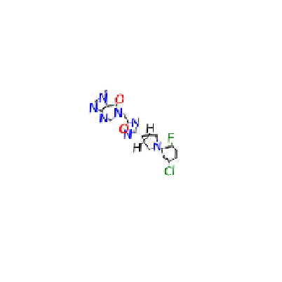 Cn1cnc2ncn(Cc3nc([C@@H]4[C@@H]5CN(c6cc(Cl)ccc6F)C[C@@H]54)no3)c(=O)c21